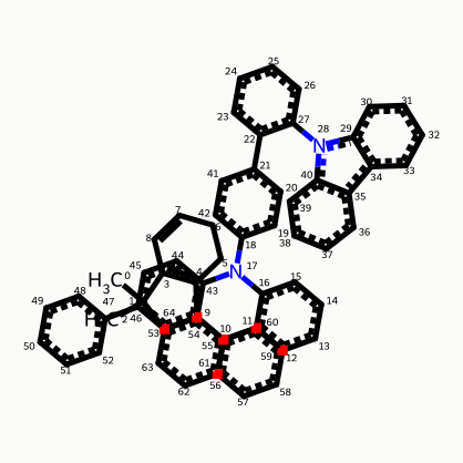 CC1(C)C2=C(CCC=C2)c2c(-c3ccccc3N(c3ccc(-c4ccccc4-n4c5ccccc5c5ccccc54)cc3)c3ccc(-c4ccccc4)cc3-c3ccccc3)cccc21